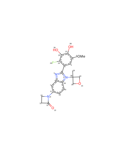 COc1cc(-c2nc3cc(N4CCC4=O)ccc3n2C2(C)COC2)c(F)c(O)c1O